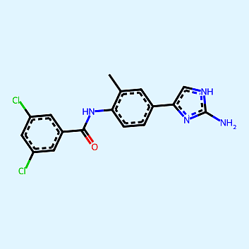 Cc1cc(-c2c[nH]c(N)n2)ccc1NC(=O)c1cc(Cl)cc(Cl)c1